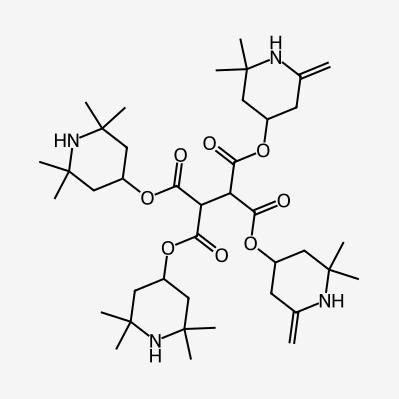 C=C1CC(OC(=O)C(C(=O)OC2CC(=C)NC(C)(C)C2)C(C(=O)OC2CC(C)(C)NC(C)(C)C2)C(=O)OC2CC(C)(C)NC(C)(C)C2)CC(C)(C)N1